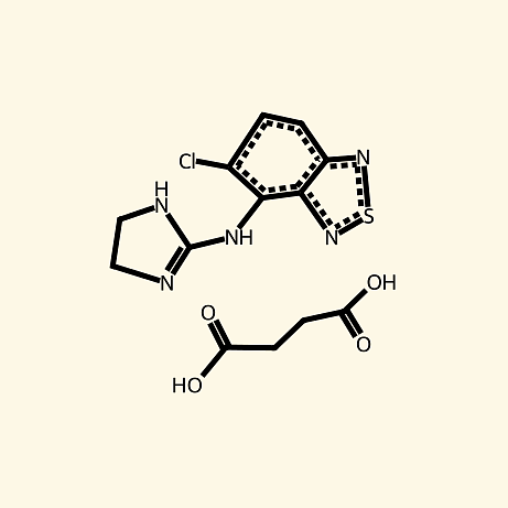 Clc1ccc2nsnc2c1NC1=NCCN1.O=C(O)CCC(=O)O